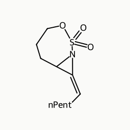 CCCCC/C=C1\C2CCCOS(=O)(=O)N12